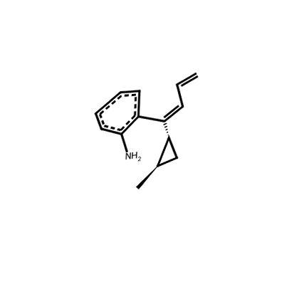 C=C/C=C(\c1ccccc1N)[C@@H]1C[C@H]1C